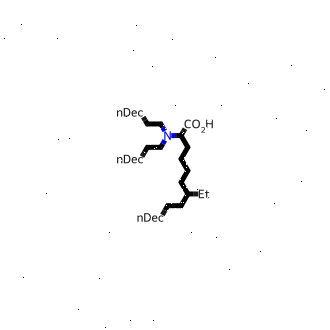 CCCCCCCCCCCCC(CC)CCCCC(C(=O)O)N(CCCCCCCCCCCC)CCCCCCCCCCCC